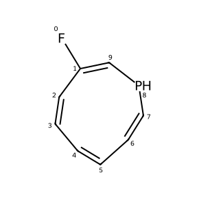 Fc1cccccc[pH]c1